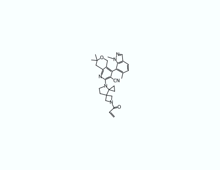 C=CC(=O)N1CC2(CCN(c3nc4c(c(-c5c(C)ccc6cnn(C)c56)c3C#N)COC(C)(C)C4)C23CC3)C1